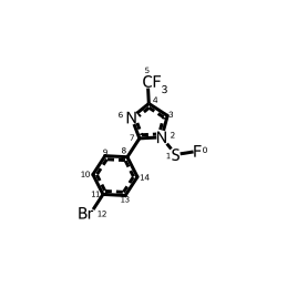 FSn1cc(C(F)(F)F)nc1-c1ccc(Br)cc1